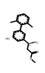 COC(=O)C[C@H](N)c1cccc(-c2c(C)cccc2C)c1.Cl